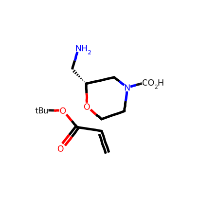 C=CC(=O)OC(C)(C)C.NC[C@@H]1CN(C(=O)O)CCO1